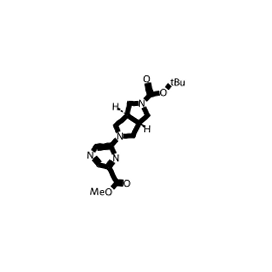 COC(=O)c1cncc(N2C[C@H]3CN(C(=O)OC(C)(C)C)C[C@H]3C2)n1